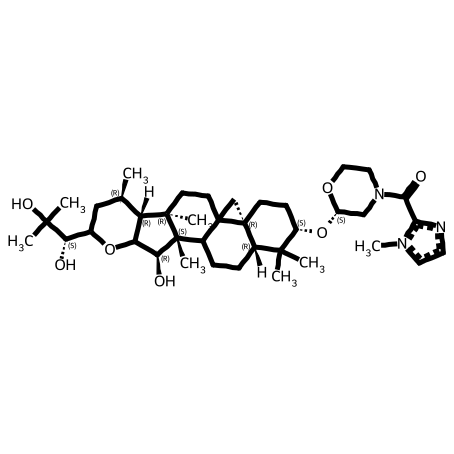 C[C@@H]1CC([C@H](O)C(C)(C)O)OC2[C@H]1[C@@]1(C)CCC34C[C@@]35CC[C@H](O[C@H]3CN(C(=O)c6nccn6C)CCO3)C(C)(C)[C@@H]5CCC4[C@]1(C)[C@H]2O